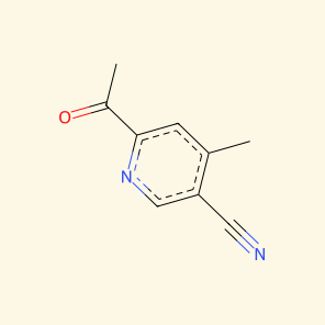 CC(=O)c1cc(C)c(C#N)cn1